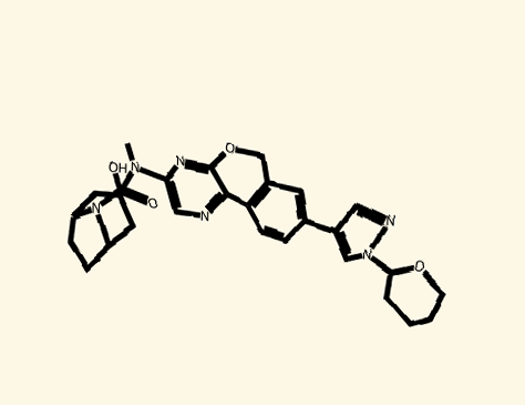 CN(c1cnc2c(n1)OCc1cc(-c3cnn(C4CCCCO4)c3)ccc1-2)C1CC2CCC(C1)N2C(=O)O